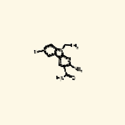 CCn1c2ccc(Cl)cc2c2cc(C(N)=O)c(N)nc21